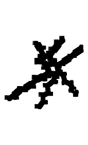 C#CC#Cc1c(CCCCC)c(CCCCCC)c(C#CC#CC#CC)c2[nH]c(C#C)c(C#CC)c12